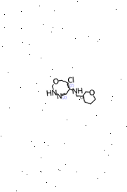 Cl/C1=C(NC[C@@H]2CCCOC2)/C=N\NCOC1